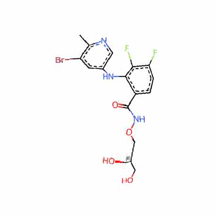 Cc1ncc(Nc2c(C(=O)NOC[C@H](O)CO)ccc(F)c2F)cc1Br